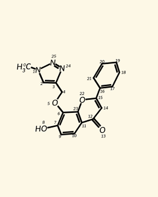 Cn1cc(COc2c(O)ccc3c(=O)cc(-c4ccccc4)oc23)nn1